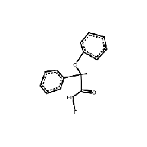 CC(Oc1ccccc1)(C(=O)NF)c1ccccc1